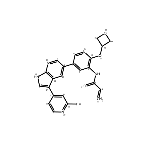 C=CC(=O)Nc1cc(-c2cnc3[nH]cc(-c4ccnc(F)c4)c3c2)cnc1OC1COC1